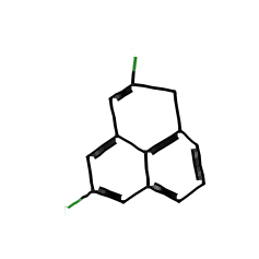 ClC1=Cc2cc(Cl)cc3cccc(c23)C1